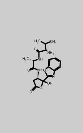 CC(C)[C@@H](N)C(=O)N[C@@H](C)C(=O)N[C@@H]1CC(=O)OC1(O)c1nc2ccccc2o1